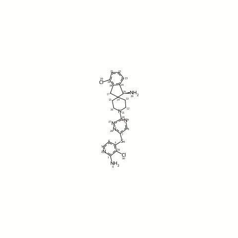 Nc1nccc(Sc2cnc(N3CCC4(CC3)Cc3c(Cl)cccc3[C@H]4N)nn2)c1Cl